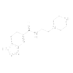 O=C(NCCN1CCNCC1)C1=Cc2nn[nH]c2CC1